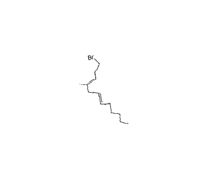 CCCCCC=CCC(C)=CCCBr